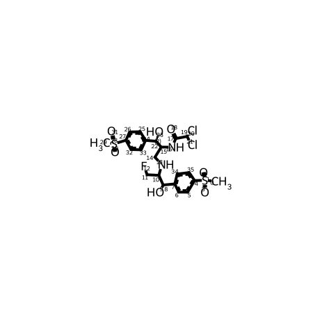 CS(=O)(=O)c1ccc(C(O)C(CF)NCC(NC(=O)C(Cl)Cl)[C@H](O)c2ccc(S(C)(=O)=O)cc2)cc1